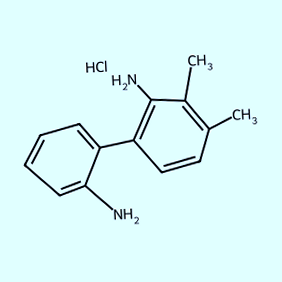 Cc1ccc(-c2ccccc2N)c(N)c1C.Cl